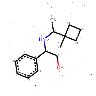 CC1(C(C#N)NC(CO)c2ccccc2)CCC1